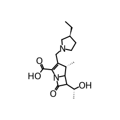 CC[C@H]1CCN(CC2=C(C(=O)O)N3C(=O)C([C@@H](C)O)C3[C@H]2C)C1